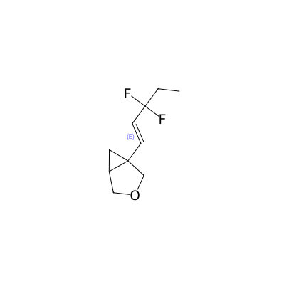 CCC(F)(F)/C=C/C12COCC1C2